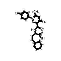 Cc1cc(=O)c(C(=O)NC2CCc3ccccc3NC2=O)nn1-c1ccc(Cl)cc1